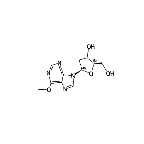 COc1ncnc2c1ncn2[C@H]1CC(O)[C@@H](CO)O1